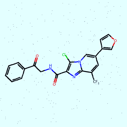 O=C(CNC(=O)c1nc2c(C(F)(F)F)cc(-c3ccoc3)cn2c1Cl)c1ccccc1